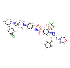 O=C(NS(=O)(=O)c1ccc(NC(CCN2CCOCC2)CSc2ccccc2)c(S(=O)(=O)C(F)(F)F)c1)c1ccc(N2CCC3(CC2)CN(C2CCCC=C2c2ccc(Cl)cc2)C3)cc1